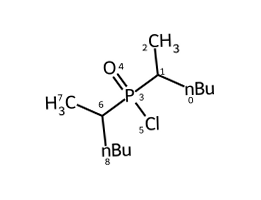 CCCCC(C)P(=O)(Cl)C(C)CCCC